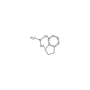 CN(C)C.[CH]1CCc2ccccc21